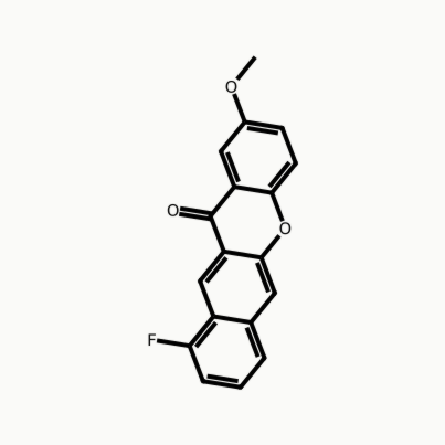 COc1ccc2oc3cc4cccc(F)c4cc3c(=O)c2c1